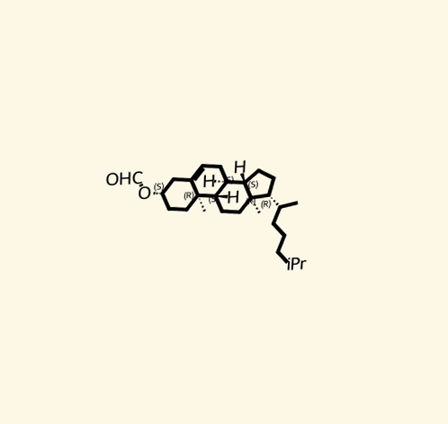 CC(C)CCCC(C)[C@H]1CC[C@H]2[C@@H]3CC=C4C[C@@H](OC=O)CC[C@]4(C)[C@H]3CC[C@]12C